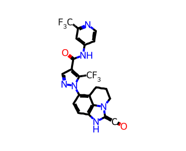 O=C=C1Nc2ccc(-n3ncc(C(=O)Nc4ccnc(C(F)(F)F)c4)c3C(F)(F)F)c3c2N1CCC3